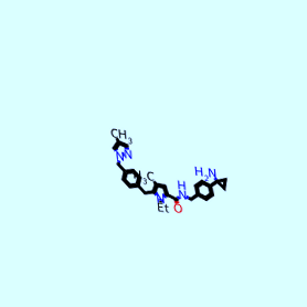 CCn1c(C(=O)NCc2ccc(C3(N)CC3)cc2)cc(C)c1Cc1ccc(Cn2cc(C)cn2)cc1